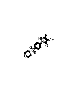 CC(=O)c1c(C)[nH]n(-c2ccc(S(=O)(=O)N3CCOCC3)cc2)c1=O